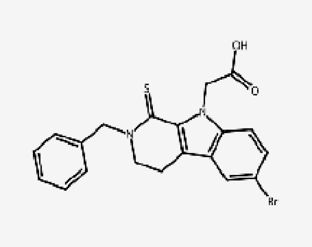 O=C(O)Cn1c2c(c3cc(Br)ccc31)CCN(Cc1ccccc1)C2=S